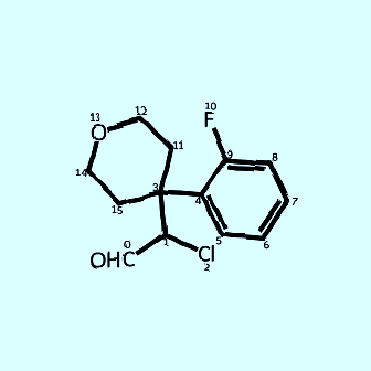 O=CC(Cl)C1(c2ccccc2F)CCOCC1